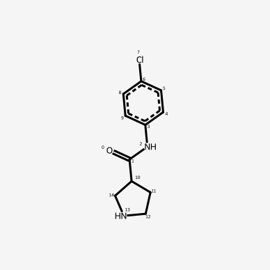 O=C(Nc1ccc(Cl)cc1)C1CCNC1